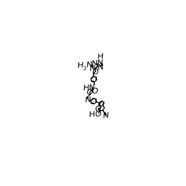 CN(CCOC(=O)NCc1ccc(COc2nc(N)nc3[nH]cnc23)cc1)c1ccc(-c2ccc(CC(C#N)C(=O)O)s2)cc1